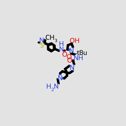 Cc1ncsc1-c1ccc(CNC(=O)[C@@H]2C[C@@H](O)CN2C(=O)[C@@H](NC(=O)CN2CCC3(CCN(CCN)CC3)CC2)C(C)(C)C)cc1